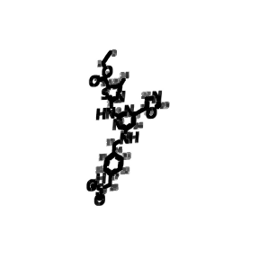 CCOC(=O)c1sc(Nc2nc(NCc3ccc(C[SH](=O)=O)cc3)cc(-c3cnco3)n2)nc1C